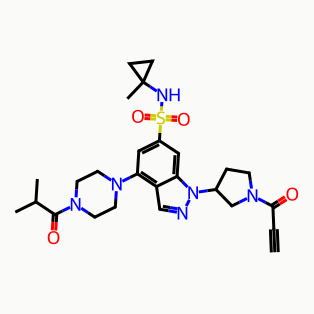 C#CC(=O)N1CCC(n2ncc3c(N4CCN(C(=O)C(C)C)CC4)cc(S(=O)(=O)NC4(C)CC4)cc32)C1